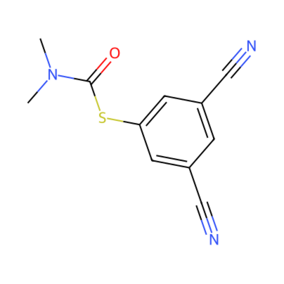 CN(C)C(=O)Sc1cc(C#N)cc(C#N)c1